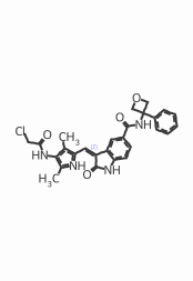 Cc1[nH]c(/C=C2\C(=O)Nc3ccc(C(=O)NC4(c5ccccc5)COC4)cc32)c(C)c1NC(=O)CCl